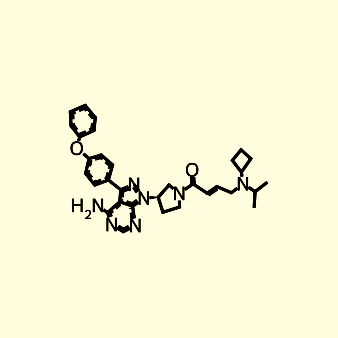 CC(C)N(CC=CC(=O)N1CC[C@@H](n2nc(-c3ccc(Oc4ccccc4)cc3)c3c(N)ncnc32)C1)C1CCC1